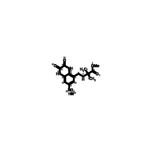 Br.COC(=O)C(C)(C)NCc1cc([N+](=O)[O-])cc2[nH]c(=O)c(=O)[nH]c12